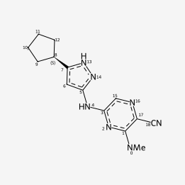 CNc1nc(Nc2cc([C@H]3C[CH]CC3)[nH]n2)cnc1C#N